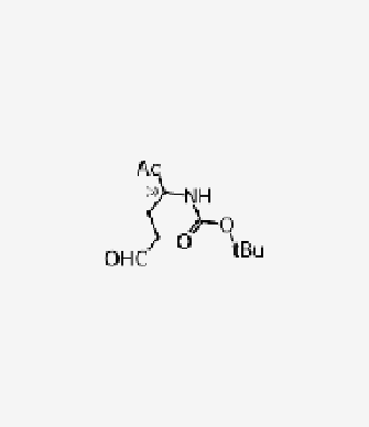 CC(=O)[C@H](CCC=O)NC(=O)OC(C)(C)C